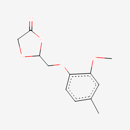 COc1cc(C)ccc1OCC1OCC(=O)O1